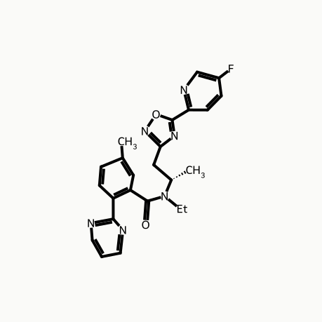 CCN(C(=O)c1cc(C)ccc1-c1ncccn1)[C@@H](C)Cc1noc(-c2ccc(F)cn2)n1